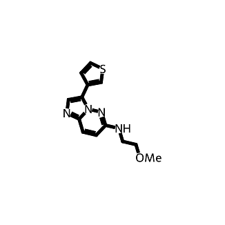 COCCNc1ccc2ncc(-c3ccsc3)n2n1